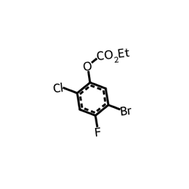 CCOC(=O)Oc1cc(Br)c(F)cc1Cl